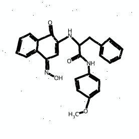 COc1ccc(NC(=O)C(Cc2ccccc2)NC2=CC(=NO)c3ccccc3C2=O)cc1